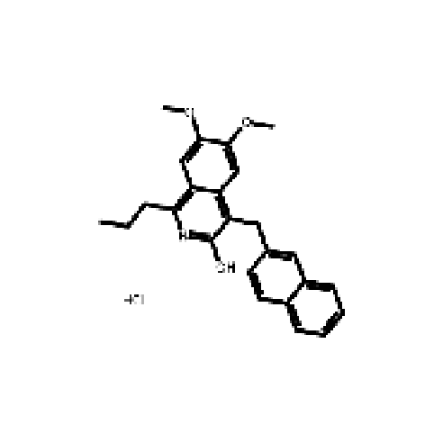 CCCc1nc(O)c(Cc2ccc3ccccc3c2)c2cc(OC)c(OC)cc12.Cl